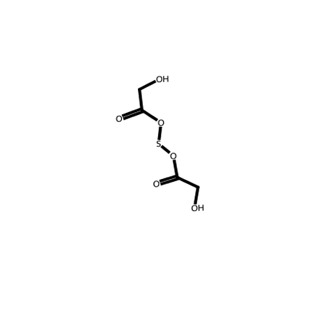 O=C(CO)OSOC(=O)CO